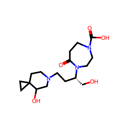 O=C(O)N1CCC(=O)N([C@H](CO)CCN2CCC3(CC3)C(O)C2)CC1